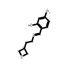 Oc1cc(C(F)(F)F)ccc1/C=N/CCC1COC1